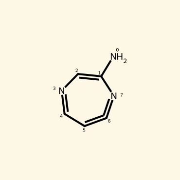 NC1=CN=CC=C=N1